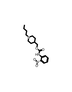 CCCCN1CCC(COC(=O)Nc2ccccc2[N+](=O)[O-])CC1